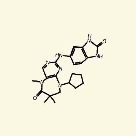 CN1C(=O)C(C)(C)CN(C2CCCC2)c2nc(Nc3ccc4[nH]c(=O)[nH]c4c3)ncc21